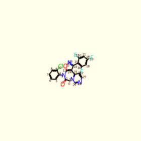 CC(=O)N(c1ccccc1Cl)c1onc(-c2c(F)cc(F)cc2F)c1-c1ccncn1